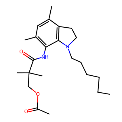 CCCCCCN1CCc2c(C)cc(C)c(NC(=O)C(C)(C)COC(C)=O)c21